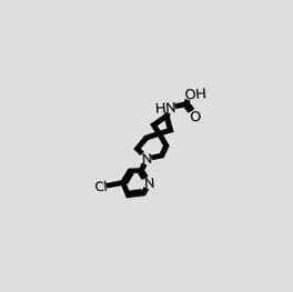 O=C(O)NC1CC2(CCN(c3cc(Cl)ccn3)CC2)C1